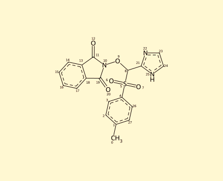 Cc1ccc(S(=O)(=O)C(ON2C(=O)c3ccccc3C2=O)c2ncc[nH]2)cc1